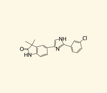 CC1(C)C(=O)Nc2ccc(-c3c[nH]c(-c4cccc(Cl)c4)n3)cc21